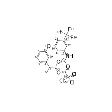 CC(C=O)c1cccc(Oc2cc(NC(=O)OCC(Cl)(Cl)Cl)cc(C(F)(F)F)c2)c1